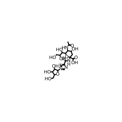 CC(=O)NC1C(O)CC(NC(=O)c2ncn(C3OC(CO)C(O)C3O)n2)(C(=O)O)OC1C(O)C(O)CO